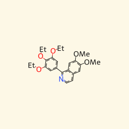 CCOc1cc(-c2nccc3cc(OC)c(OC)cc23)cc(OCC)c1OCC